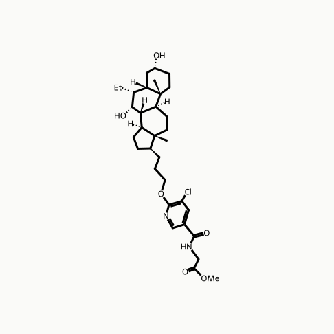 CC[C@H]1[C@@H](O)[C@@H]2[C@H](CC[C@]3(C)[C@@H](CCCOc4ncc(C(=O)NCC(=O)OC)cc4Cl)CC[C@@H]23)[C@@]2(C)CC[C@@H](O)C[C@@H]12